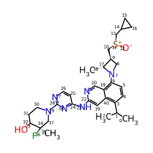 CC(C)c1ccc(N2C[C@H](C[S@+]([O-])CC3CC3)[C@H]2C)c2cnc(Nc3ccnc(N4CC[C@H](O)[C@](C)(F)C4)n3)cc12